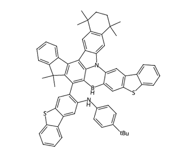 CC(C)(C)c1ccc(Nc2cc3c(cc2-c2c4c(c5c6cc7c(cc6n6c5c2Bc2cc5sc8ccccc8c5cc2-6)C(C)(C)CCC7(C)C)-c2ccccc2C4(C)C)sc2ccccc23)cc1